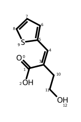 O=C(O)C(=Cc1cccs1)CCO